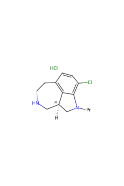 CC(C)N1C[C@H]2CNCCc3ccc(Cl)c1c32.Cl